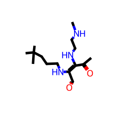 CNCCN/C(C(C)=O)=C(/C=O)NCCCC(C)(C)C